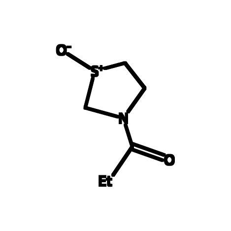 CCC(=O)N1CC[S+]([O-])C1